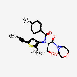 CC1CCC(C(=O)N(c2cc(C#CC(C)(C)C)sc2C(=O)O)[C@H](C(=O)N2CCOCC2)[C@@H](C)O)CC1